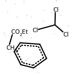 CCOC(C)=O.ClC(Cl)Cl.c1ccccc1